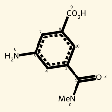 CNC(=O)c1cc(N)cc(C(=O)O)c1